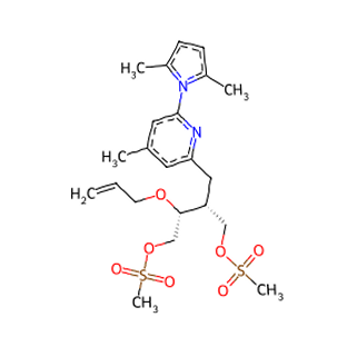 C=CCO[C@@H](COS(C)(=O)=O)[C@@H](COS(C)(=O)=O)Cc1cc(C)cc(-n2c(C)ccc2C)n1